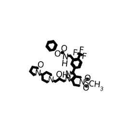 CS(=O)(=O)N1CCc2c(c(-c3ccc(C(F)(F)F)c(CNC(=O)Oc4ccccc4)c3)nn2CC(O)CN2CCC(N3CCCC3=O)CC2)C1